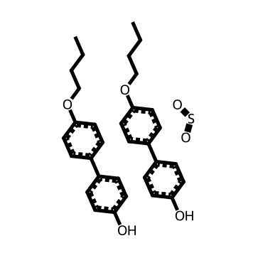 CCCCOc1ccc(-c2ccc(O)cc2)cc1.CCCCOc1ccc(-c2ccc(O)cc2)cc1.O=S=O